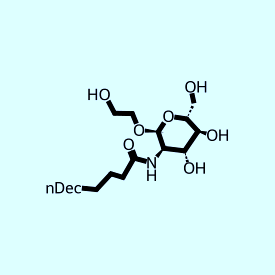 CCCCCCCCCCCCCC(=O)N[C@H]1[C@@H](OCCO)O[C@H](CO)[C@@H](O)[C@@H]1O